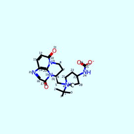 CC(C)(C)[N+]1(C[C@@H]2CCn3c(=O)ccc4ncc(=O)n2c43)CCC(NC(=O)[O-])CC1